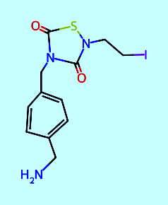 NCc1ccc(Cn2c(=O)sn(CCI)c2=O)cc1